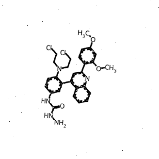 COc1ccc(-c2cc(-c3cc(NC(=O)NN)ccc3N(CCCl)CCCl)c3ccccc3n2)c(OC)c1